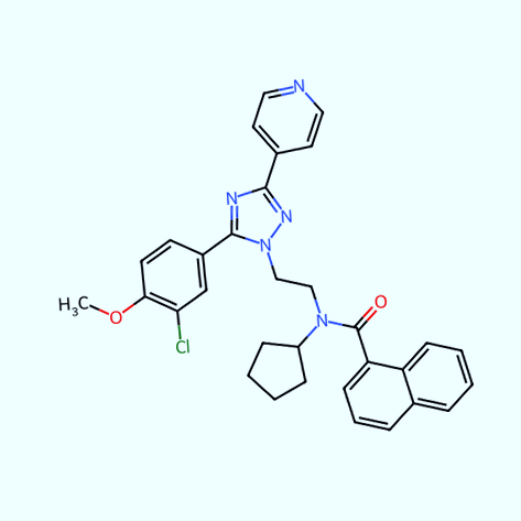 COc1ccc(-c2nc(-c3ccncc3)nn2CCN(C(=O)c2cccc3ccccc23)C2CCCC2)cc1Cl